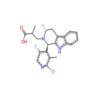 Cc1c(Cl)ncc(F)c1[C@@H]1c2[nH]c3ccccc3c2C[C@@H](C)N1CC(C)C(=O)O